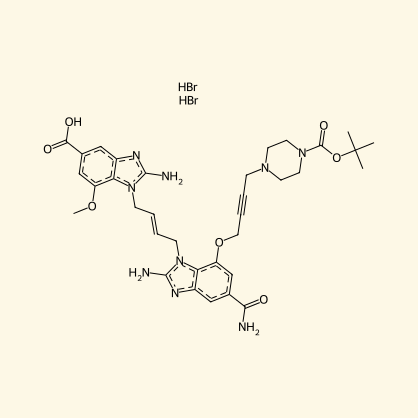 Br.Br.COc1cc(C(=O)O)cc2nc(N)n(CC=CCn3c(N)nc4cc(C(N)=O)cc(OCC#CCN5CCN(C(=O)OC(C)(C)C)CC5)c43)c12